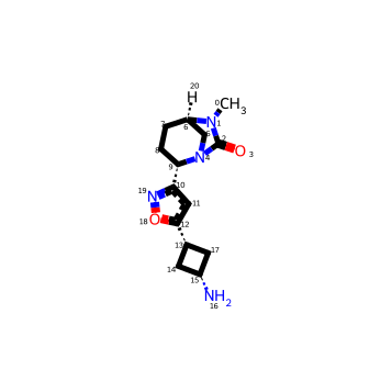 CN1C(=O)N2C[C@H]1CC[C@H]2c1cc([C@H]2C[C@@H](N)C2)on1